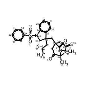 CCCC1(CC23CC(=O)[C@@](C)(SC(=S)S2)N(C)C3=O)c2ccccc2N(S(=O)(=O)c2ccccc2)[C@H]1N